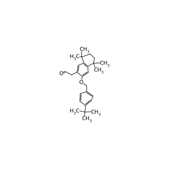 CC(C)(C)c1ccc(COc2cc3c(cc2CC=O)C(C)(C)CCC3(C)C)cc1